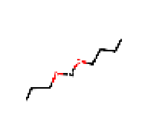 CCCC[O][Al][O]CCC